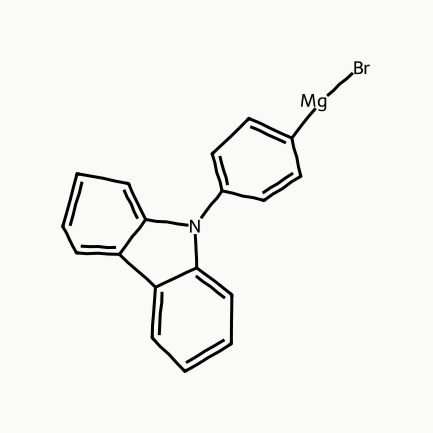 [Br][Mg][c]1ccc(-n2c3ccccc3c3ccccc32)cc1